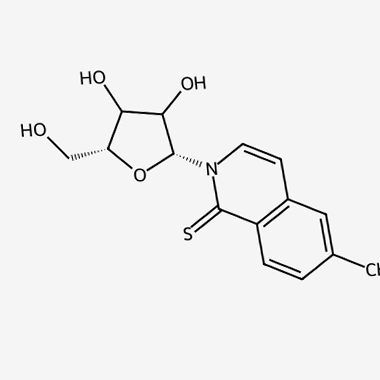 Cc1ccc2c(=S)n([C@@H]3O[C@H](CO)C(O)C3O)ccc2c1